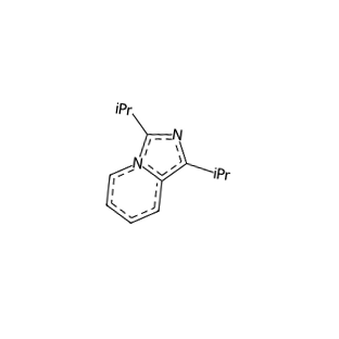 CC(C)c1nc(C(C)C)n2ccccc12